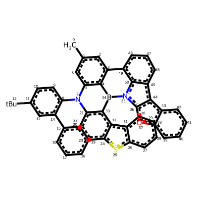 Cc1cc2c3c(c1)N(c1ccc(C(C)(C)C)cc1-c1ccccc1)c1ccc4sc5ccccc5c4c1B3n1c3oc4ccccc4c3c3cccc-2c31